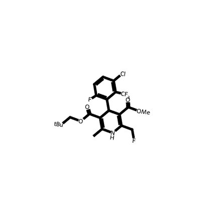 COC(=O)C1=C(CF)NC(C)=C(C(=O)OCC(C)(C)C)C1c1c(F)ccc(Cl)c1C(F)(F)F